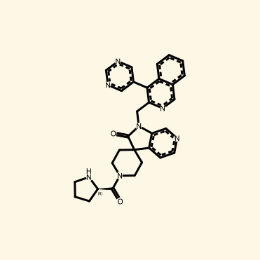 O=C([C@H]1CCCN1)N1CCC2(CC1)C(=O)N(Cc1ncc3ccccc3c1-c1cncnc1)c1cnccc12